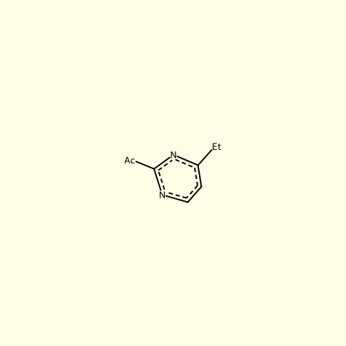 CCc1ccnc(C(C)=O)n1